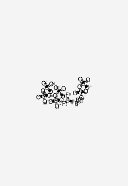 FB(F)F.O=S(=O)([O-])OS(=O)(=O)[O-].O=S(=O)([O-])OS(=O)(=O)[O-].O=S(=O)([O-])OS(=O)(=O)[O-].[B+3].[B+3]